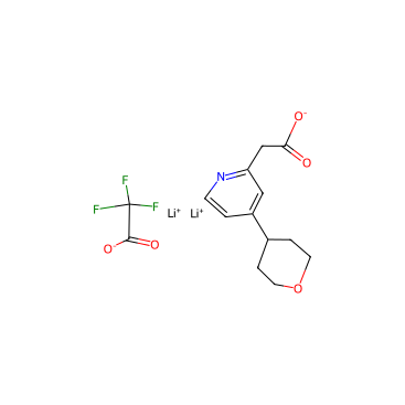 O=C([O-])C(F)(F)F.O=C([O-])Cc1cc(C2CCOCC2)ccn1.[Li+].[Li+]